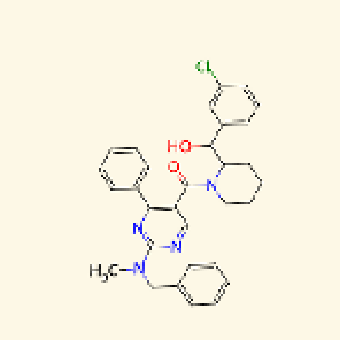 CN(Cc1ccccc1)c1ncc(C(=O)N2CCCCC2C(O)c2cccc(Cl)c2)c(-c2ccccc2)n1